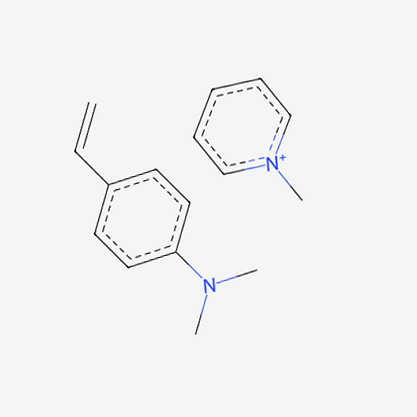 C=Cc1ccc(N(C)C)cc1.C[n+]1ccccc1